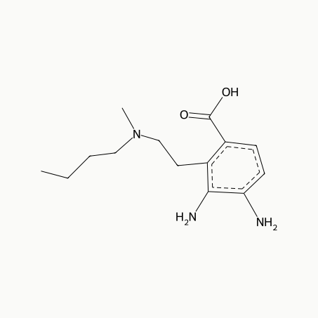 CCCCN(C)CCc1c(C(=O)O)ccc(N)c1N